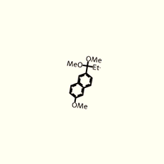 C[CH]C(OC)(OC)c1ccc2cc(OC)ccc2c1